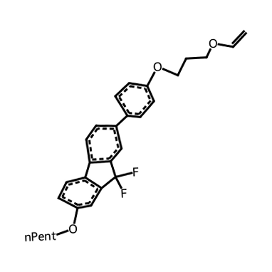 C=COCCCOc1ccc(-c2ccc3c(c2)C(F)(F)c2cc(OCCCCC)ccc2-3)cc1